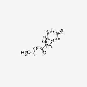 CCOC(=O)c1cc2cc(F)ccc2o1